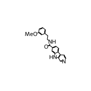 COc1cccc(CCNC(=O)c2ccc3c(c2)[nH]c2cnccc23)c1